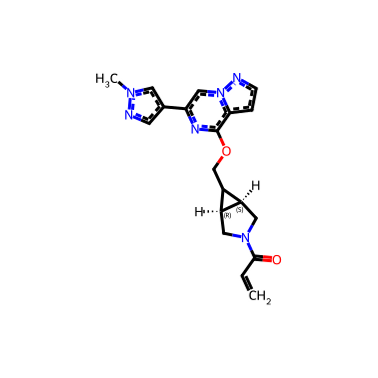 C=CC(=O)N1C[C@@H]2C(COc3nc(-c4cnn(C)c4)cn4nccc34)[C@@H]2C1